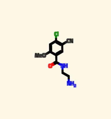 COc1cc(Cl)c(C#N)cc1C(=O)NCCN